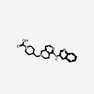 O=C(O)N1CCC(CN2CCc3c(ccnc3Nc3cnc4ccccc4c3)C2)CC1